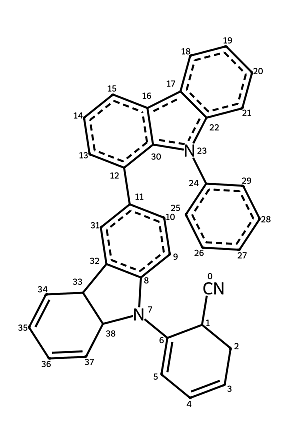 N#CC1CC=CC=C1N1c2ccc(-c3cccc4c5ccccc5n(-c5ccccc5)c34)cc2C2C=CC=CC21